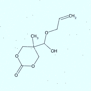 C=CCOC(O)C1(C)COC(=O)OC1